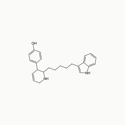 Oc1ccc(C2C=CCNC2CCCCCc2c[nH]c3ccccc23)cc1